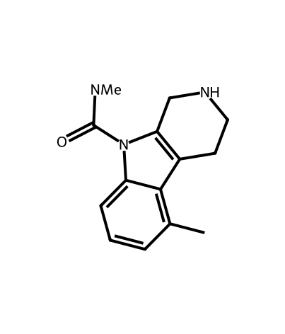 CNC(=O)n1c2c(c3c(C)cccc31)CCNC2